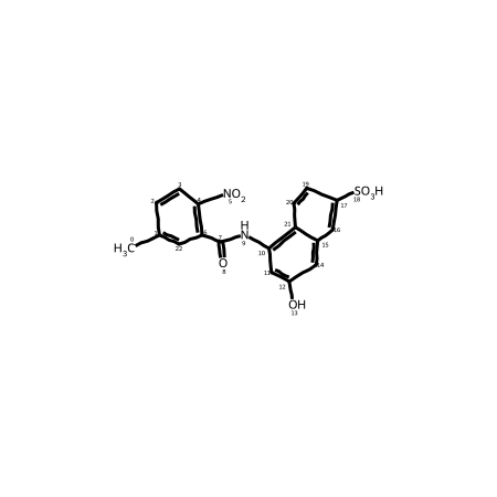 Cc1ccc([N+](=O)[O-])c(C(=O)Nc2cc(O)cc3cc(S(=O)(=O)O)ccc23)c1